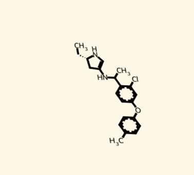 CC[C@H]1CC(NC(C)c2ccc(Oc3ccc(C)cc3)cc2Cl)=CN1